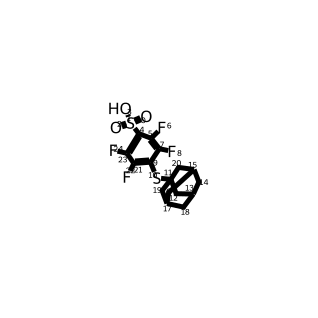 O=S(=O)(O)c1c(F)c(F)c(SC23CC4CC(CC(C4)C2)C3)c(F)c1F